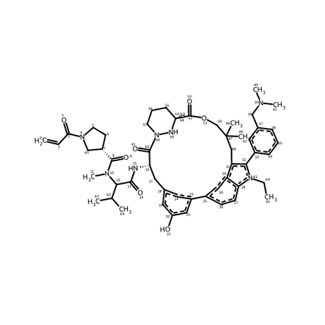 C=CC(=O)N1CC[C@H](C(=O)N(C)C(C(=O)N[C@H]2Cc3cc(O)cc(c3)-c3ccc4c(c3)c(c(-c3cccc(CN(C)C)c3)n4CC)CC(C)(C)COC(=O)[C@@H]3CCCN(N3)C2=O)C(C)C)C1